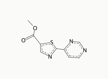 COC(=O)c1cnc(-c2ccncn2)s1